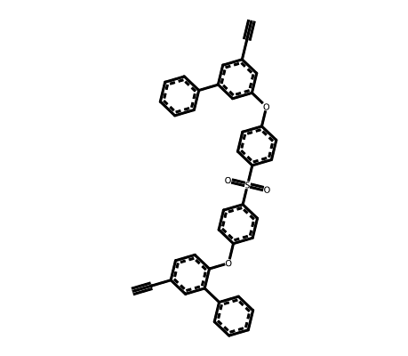 C#Cc1cc(Oc2ccc(S(=O)(=O)c3ccc(Oc4ccc(C#C)cc4-c4ccccc4)cc3)cc2)cc(-c2ccccc2)c1